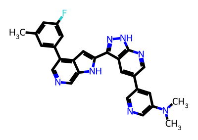 Cc1cc(F)cc(-c2cncc3[nH]c(-c4n[nH]c5ncc(-c6cncc(N(C)C)c6)cc45)cc23)c1